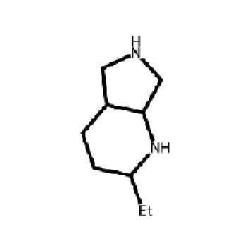 CCC1CCC2CNCC2N1